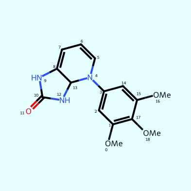 COc1cc(N2C=CC=C3NC(=O)NC32)cc(OC)c1OC